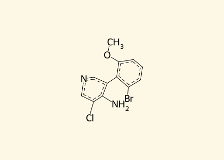 COc1cccc(Br)c1-c1cncc(Cl)c1N